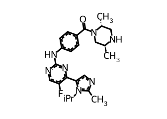 Cc1ncc(-c2nc(Nc3ccc(C(=O)N4C[C@H](C)NC[C@H]4C)cc3)ncc2F)n1C(C)C